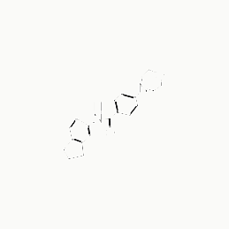 O=C(Nc1ccc2c(c1)CCC2)c1ccc(N2CCOCC2)cc1